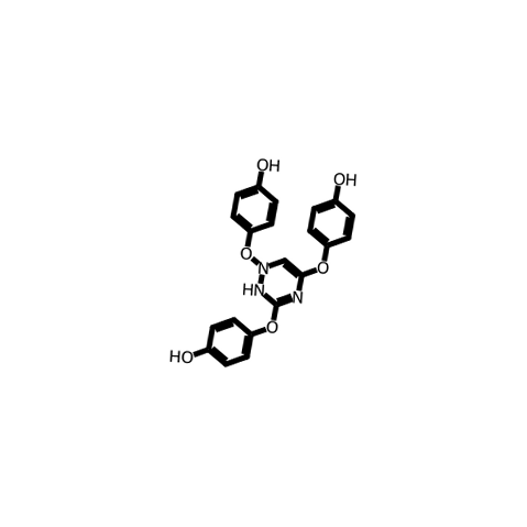 Oc1ccc(OC2=CN(Oc3ccc(O)cc3)NC(Oc3ccc(O)cc3)=N2)cc1